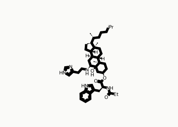 CCC(=O)N[C@@H](Cc1c[nH]c2ccccc12)C(=O)O[C@H]1CC[C@]2(C)[C@H]3CC[C@]4(C)[C@@H]([C@H](C)CCCC(C)C)CC[C@H]4[C@@H]3C[C@@H](NCCc3c[nH]cn3)[C@@]2(O)C1